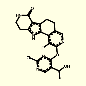 CC(O)c1cnc(Cl)nc1Oc1ncc2c(c1F)-c1[nH]c3c(c1CC2)C(=O)NCC3